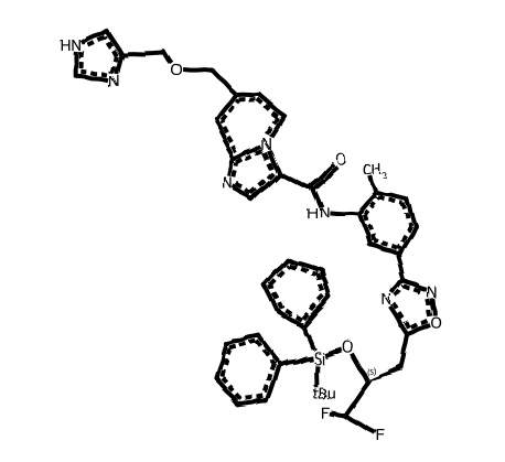 Cc1ccc(-c2noc(C[C@H](O[Si](c3ccccc3)(c3ccccc3)C(C)(C)C)C(F)F)n2)cc1NC(=O)c1cnc2cc(COCc3c[nH]cn3)ccn12